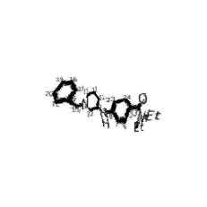 CCN(CC)C(=O)c1ccc(NC2CCCN(Cc3ccccc3)C2)cc1